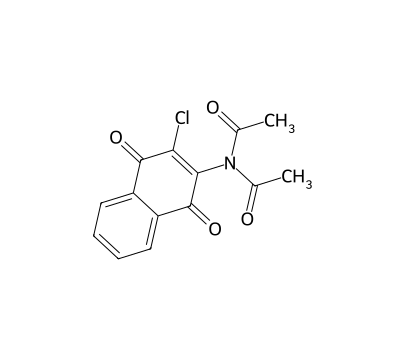 CC(=O)N(C(C)=O)C1=C(Cl)C(=O)c2ccccc2C1=O